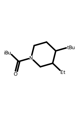 CCC(C)C(=O)N1CCC(C(C)(C)C)C(CC)C1